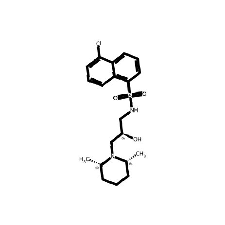 C[C@@H]1CCC[C@H](C)N1C[C@H](O)CNS(=O)(=O)c1cccc2c(Cl)cccc12